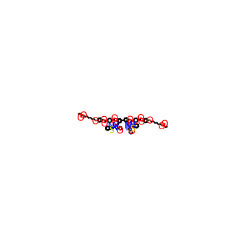 C=CC(=O)OCCCCCCOc1ccc(OC(=O)C2CCC(C(=O)Oc3ccc(-c4ccc(OC(=O)C5CCC(C(=O)Oc6ccc(OCCCCCCOC(=O)C=C)cc6)CC5)c(/C=N/N(CC5CCCO5)c5nc6ccccc6s5)c4)cc3/C=N/N(CC3CCCO3)c3nc4ccccc4s3)CC2)cc1